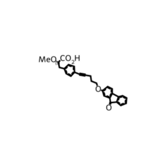 CO[C@@H](Cc1ccc(C#CCCCOc2ccc3c(c2)C(=O)c2ccccc2-3)cc1)C(=O)O